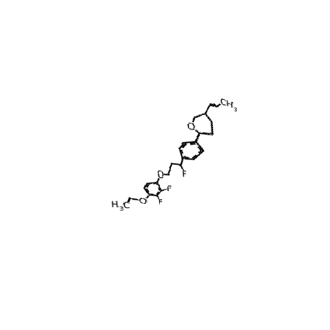 C/C=C/C1CCC(c2ccc(C(F)CCOc3ccc(OCC)c(F)c3F)cc2)OC1